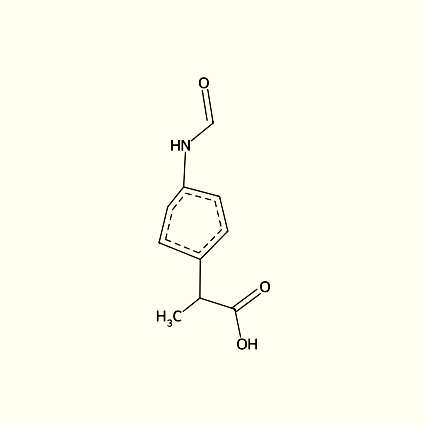 CC(C(=O)O)c1ccc(NC=O)cc1